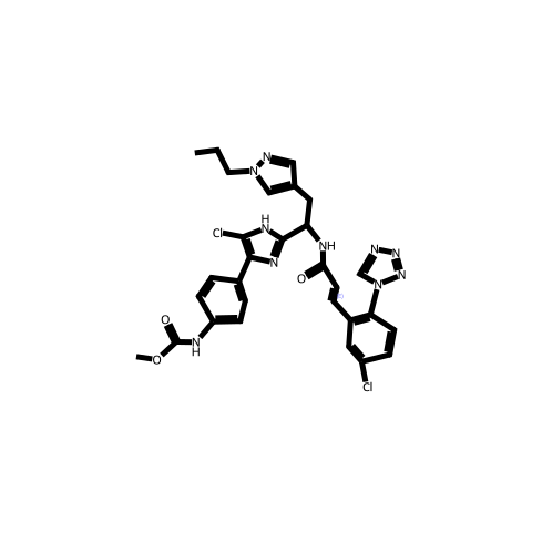 CCCn1cc(CC(NC(=O)/C=C/c2cc(Cl)ccc2-n2cnnn2)c2nc(-c3ccc(NC(=O)OC)cc3)c(Cl)[nH]2)cn1